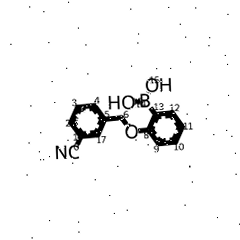 N#Cc1cccc(COc2ccccc2B(O)O)c1